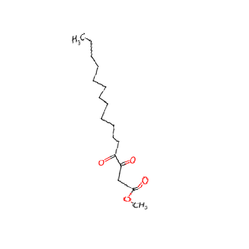 CCCCCCCCCCCCC(=O)C(=O)CC(=O)OC